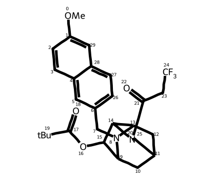 COc1ccc2cc(CN3C4CC5CC3C(C4OC(=O)C(C)(C)C)N(C(=O)CC(F)(F)F)C5)ccc2c1